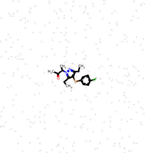 CCc1nn(C(C)C(C)=O)c(CC)c1Sc1ccc(F)cc1